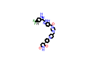 C[C@@]12Cc3[nH]nc(-c4nc5ccc(C(=O)N6CCN(CC7CCN(c8ccc([C@H]9CCC(=O)NC9=O)cc8)CC7)CC6)cc5[nH]4)c3C[C@@H]1C2(F)F